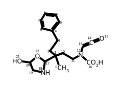 CC(CCc1ccccc1)(CCN(C=C=O)C(=O)O)C1NCC(O)O1